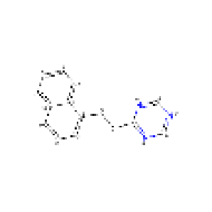 c1ccc2c(CCc3ncncn3)cccc2c1